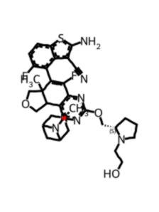 CN1CC2CC(C1)N2c1nc(OC[C@@H]2CCCN2CCO)nc2c1C1COCC1(C)C(c1c(F)ccc3sc(N)c(C#N)c13)=C2F